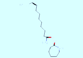 CCCCCCCC/C=C\CCCCCCCC(=O)N[C@H]1CCCCNC1=O